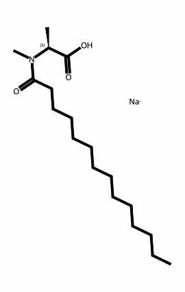 CCCCCCCCCCCCCC(=O)N(C)[C@@H](C)C(=O)O.[Na]